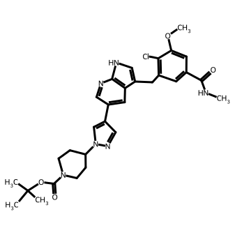 CNC(=O)c1cc(Cc2c[nH]c3ncc(-c4cnn(C5CCN(C(=O)OC(C)(C)C)CC5)c4)cc23)c(Cl)c(OC)c1